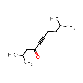 CC(C)CCC#CC(=O)CC(C)C